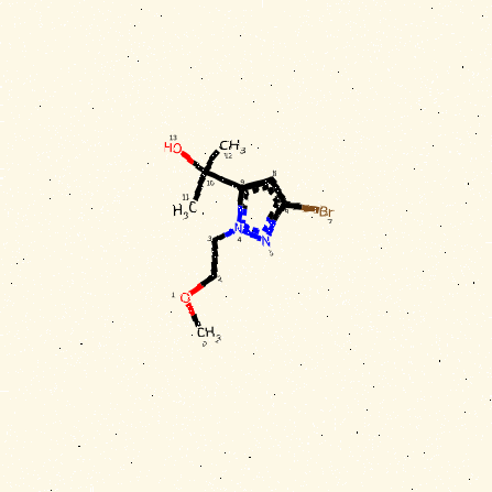 COCCn1nc(Br)cc1C(C)(C)O